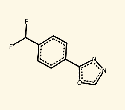 FC(F)c1ccc(-c2nnco2)cc1